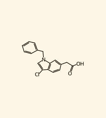 O=C(O)Cc1ccc2c(Cl)cn(Cc3ccccc3)c2c1